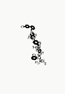 CN(C)CC[C@H](CSc1ccccc1)Nc1ccc(S(=O)(=O)Nc2ncnc3cc(N4C[C@H]5CN(Cc6ccccc6-c6ccc(Cl)cc6)C[C@H]5C4)ccc23)cc1[N+](=O)[O-]